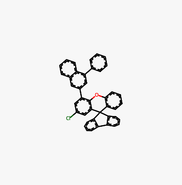 Clc1cc(-c2cc(-c3ccccc3)c3ccccc3c2)c2c(c1)C1(c3ccccc3O2)c2ccccc2-c2ccccc21